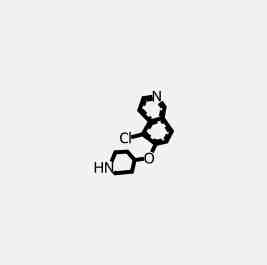 Clc1c(OC2CCNCC2)ccc2cnccc12